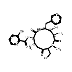 CC(C)CC1C(=O)C[C@H](C)[C@H](NC(=O)c2ncccc2O)C(=O)N[C@@H](Cc2cccnc2)[C@@H](O)[C@@H](C)C(=O)N1C